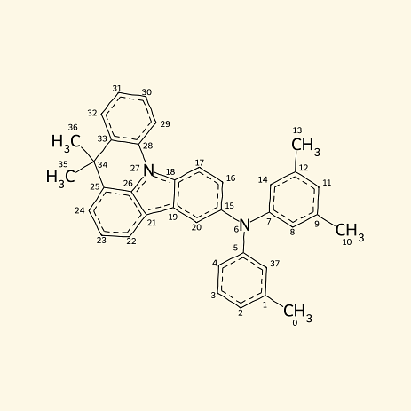 Cc1cccc(N(c2cc(C)cc(C)c2)c2ccc3c(c2)c2cccc4c2n3-c2ccccc2C4(C)C)c1